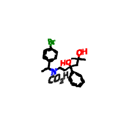 CC(c1ccc(Br)cc1)N(CCC(O)(CC(C)(C)O)c1ccccc1)C(=O)O